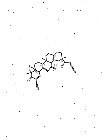 CC1(C)C(=O)C(C#N)=C[C@]2(C)C3=CC(=O)C4[C@@H]5C[C@@](C)(C(=O)N=[N+]=[N-])CC[C@]5(C)CC[C@@]4(C)[C@]3(C)CC[C@@H]12